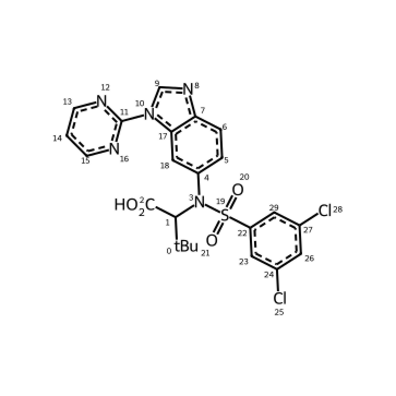 CC(C)(C)C(C(=O)O)N(c1ccc2ncn(-c3ncccn3)c2c1)S(=O)(=O)c1cc(Cl)cc(Cl)c1